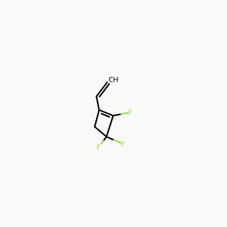 [CH]=CC1=C(F)C(F)(F)C1